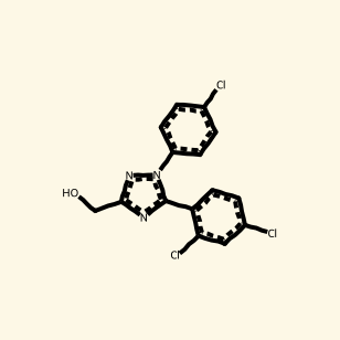 OCc1nc(-c2ccc(Cl)cc2Cl)n(-c2ccc(Cl)cc2)n1